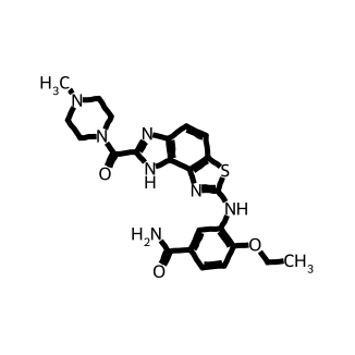 CCOc1ccc(C(N)=O)cc1Nc1nc2c(ccc3nc(C(=O)N4CCN(C)CC4)[nH]c32)s1